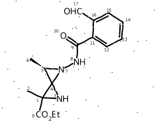 CCOC(=O)C1(C)NC12[C@@H](C)N2NC(=O)c1ccccc1C=O